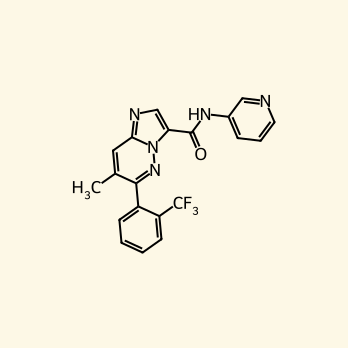 Cc1cc2ncc(C(=O)Nc3cccnc3)n2nc1-c1ccccc1C(F)(F)F